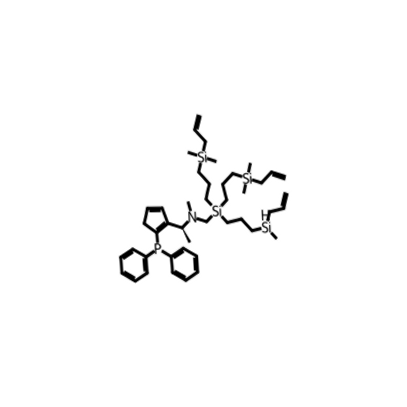 C=CC[SiH](C)CCC[Si](CCC[Si](C)(C)CC=C)(CCC[Si](C)(C)CC=C)CN(C)[C@@H](C)C1=C(P(c2ccccc2)c2ccccc2)CC=C1